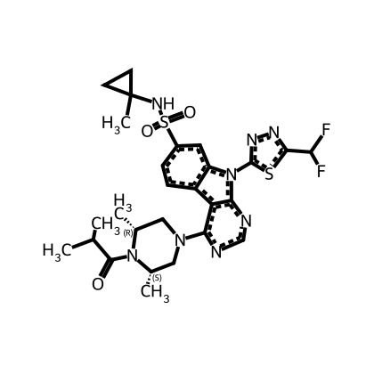 CC(C)C(=O)N1[C@H](C)CN(c2ncnc3c2c2ccc(S(=O)(=O)NC4(C)CC4)cc2n3-c2nnc(C(F)F)s2)C[C@@H]1C